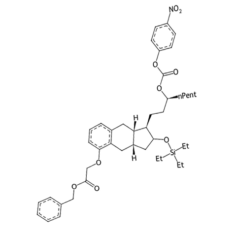 CCCCC[C@@H](CC[C@H]1C(O[Si](CC)(CC)CC)C[C@@H]2Cc3c(cccc3OCC(=O)OCc3ccccc3)C[C@@H]21)OC(=O)Oc1ccc([N+](=O)[O-])cc1